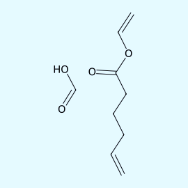 C=CCCCC(=O)OC=C.O=CO